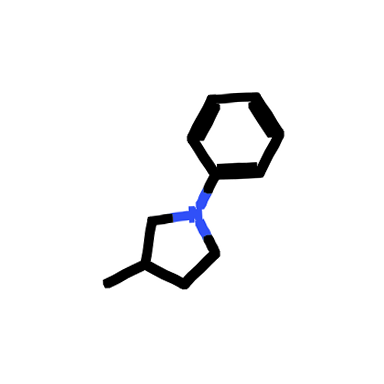 CC1CCN(c2ccccc2)C1